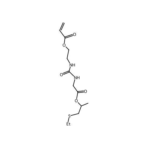 C=CC(=O)OCCNC(=O)NCC(=O)OC(C)CSCC